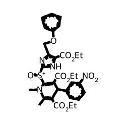 CCOC(=O)C1=C(C)N(C)C([S+]([O-])c2nc(COc3ccccc3)c(C(=O)OCC)[nH]2)=C(C(=O)OCC)C1c1cccc([N+](=O)[O-])c1